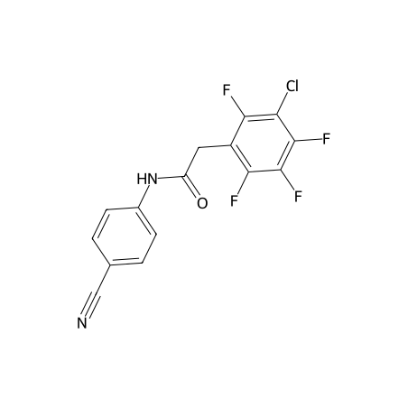 N#Cc1ccc(NC(=O)Cc2c(F)c(F)c(F)c(Cl)c2F)cc1